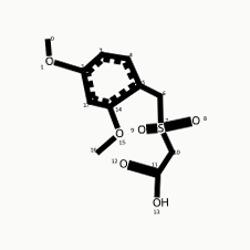 COc1ccc(CS(=O)(=O)CC(=O)O)c(OC)c1